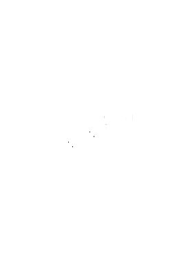 O=C(NCc1ccccn1)c1ccccc1C(F)(F)F